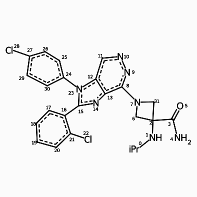 CC(C)NC1(C(N)=O)CN(c2nncc3c2nc(-c2ccccc2Cl)n3-c2ccc(Cl)cc2)C1